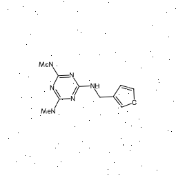 CNc1nc(NC)nc(NCc2ccoc2)n1